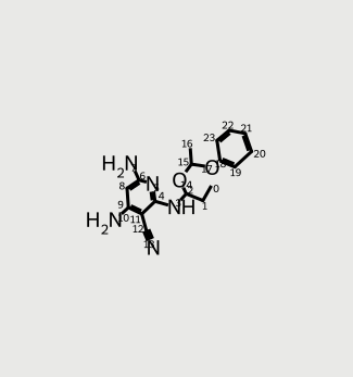 CCC(Nc1nc(N)cc(N)c1C#N)OC(C)Oc1ccccc1